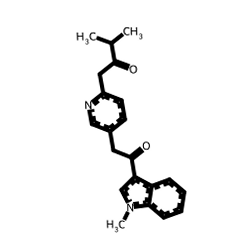 CC(C)C(=O)Cc1ccc(CC(=O)c2cn(C)c3ccccc23)cn1